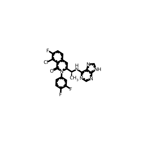 C[C@H](Nc1ncnc2[nH]cnc12)c1cc2ccc(F)c(Cl)c2c(=O)n1-c1ccc(F)c(F)c1